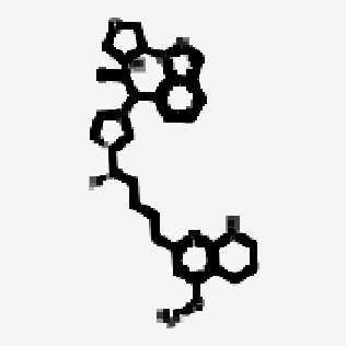 COc1cc(CCCC[C@H](F)[C@@H]2CCN([C@@H](C(=O)O)c3cccc4cnn([C@H]5CCOC5)c34)C2)nc2c1CCCN2